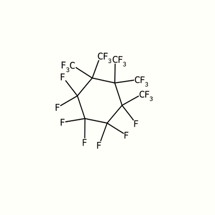 FC(F)(F)C1(F)C(F)(F)C(F)(F)C(F)(F)C(C(F)(F)F)(C(F)(F)F)C1(C(F)(F)F)C(F)(F)F